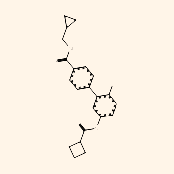 Cc1ccc(NC(=O)C2CCC2)cc1-c1ccc(C(=O)NCC2CC2)cc1